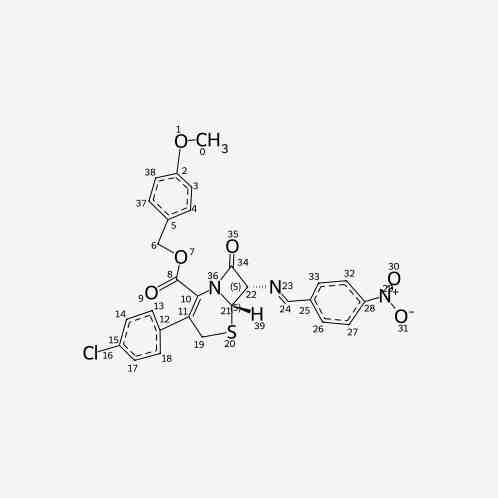 COc1ccc(COC(=O)C2=C(c3ccc(Cl)cc3)CS[C@H]3[C@@H](N=Cc4ccc([N+](=O)[O-])cc4)C(=O)N23)cc1